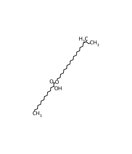 CCCCCCCCCCCCC(O)C(=O)OCCCCCCCCCCCCCCCCCC(C)CC